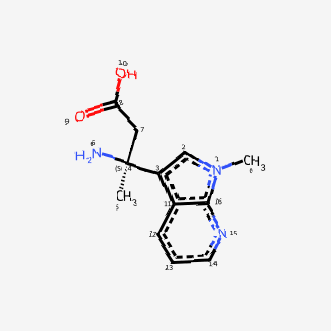 Cn1cc([C@@](C)(N)CC(=O)O)c2cccnc21